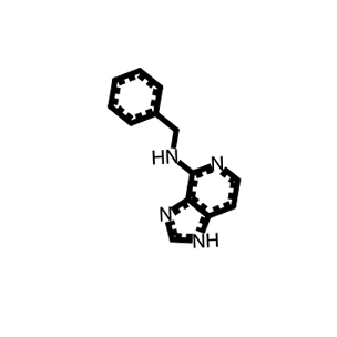 c1ccc(CNc2nccc3[nH]cnc23)cc1